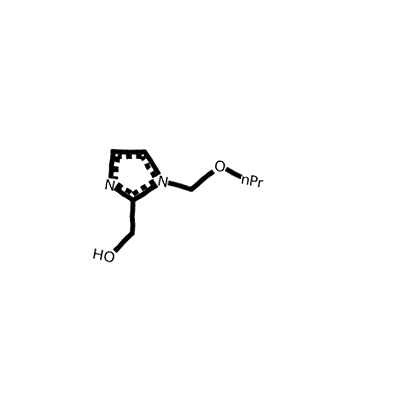 CCCOCn1ccnc1CO